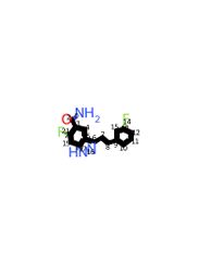 NC(=O)c1cc2c(/C=C/c3cccc(F)c3)n[nH]c2cc1F